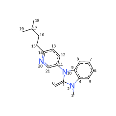 C=C1N(C)c2ccccc2N1c1ccc(CCC(C)C)nc1